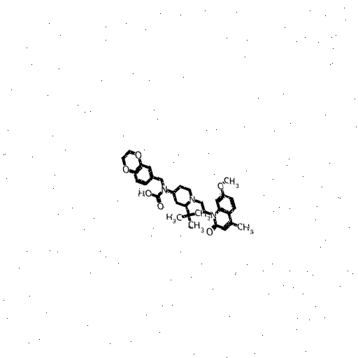 COc1ccc2c(C)cc(=O)n(CCN3CCC(N(Cc4ccc5c(c4)OCCO5)C(=O)O)CC3C(C)(C)C)c2c1